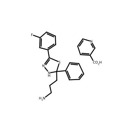 NCCCC1(c2ccccc2)NN=C(c2cccc(F)c2)S1.O=C(O)c1cccnc1